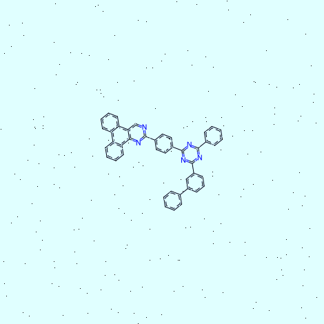 c1ccc(-c2cccc(-c3nc(-c4ccccc4)nc(-c4ccc(-c5ncc6c7ccccc7c7ccccc7c6n5)cc4)n3)c2)cc1